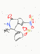 Cn1c(C#N)c(-c2ccccc2)c2cc(N(OS(C)(=O)=O)S(C)(=O)=O)ccc2c1=O